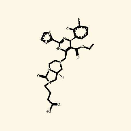 CCOC(=O)C1=C(CN2CCN3C(=O)N(CCCC(=O)O)C[C@@H]3C2)NC(c2nccs2)=N[C@H]1c1cccc(F)c1Cl